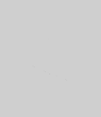 CCO[Si](C)(CCCCCC[Si](c1ccccc1)(N1CCN(C)CC1)N1CCN(C)CC1)OCC